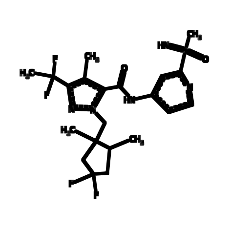 Cc1c(C(C)(F)F)nn(CC2(C)CC(F)(F)CC2C)c1C(=O)Nc1ccnc(S(C)(=N)=O)c1